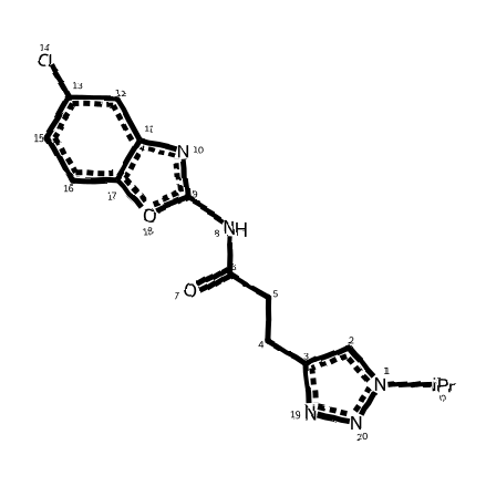 CC(C)n1cc(CCC(=O)Nc2nc3cc(Cl)ccc3o2)nn1